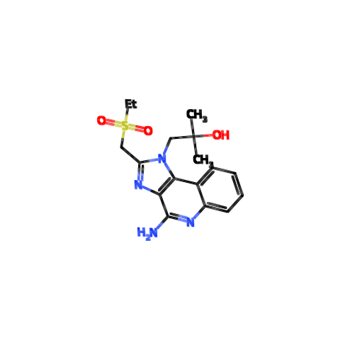 CCS(=O)(=O)Cc1nc2c(N)nc3ccccc3c2n1CC(C)(C)O